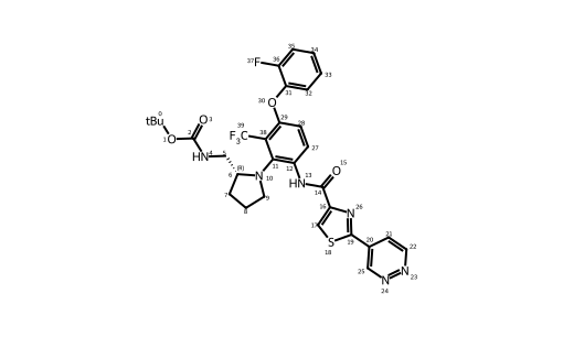 CC(C)(C)OC(=O)NC[C@H]1CCCN1c1c(NC(=O)c2csc(-c3ccnnc3)n2)ccc(Oc2ccccc2F)c1C(F)(F)F